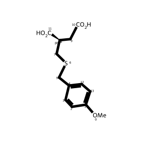 COc1ccc(CSC[C@H](CC(=O)O)C(=O)O)cc1